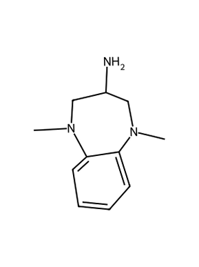 CN1CC(N)CN(C)c2ccccc21